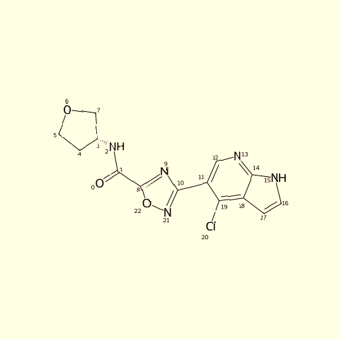 O=C(N[C@@H]1CCOC1)c1nc(-c2cnc3[nH]ccc3c2Cl)no1